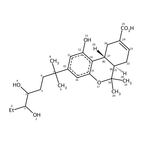 CCC(O)C(O)CCC(C)(C)c1cc(O)c2c(c1)OC(C)(C)[C@@H]1CC=C(C(=O)O)C[C@@H]21